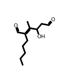 CCCCCC(C=O)=C(C)C(O)CC=O